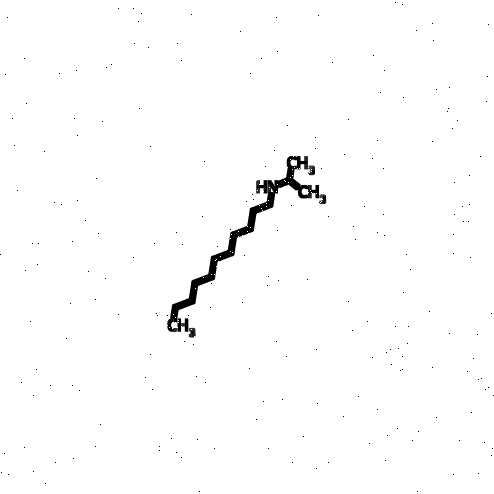 CCCCCCCCCCCNC(C)C